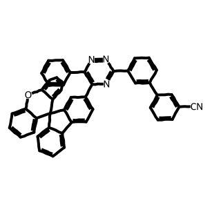 N#Cc1cccc(-c2cccc(-c3nnc(-c4ccccc4)c(-c4ccc5c(c4)C4(c6ccccc6Oc6ccccc64)c4ccccc4-5)n3)c2)c1